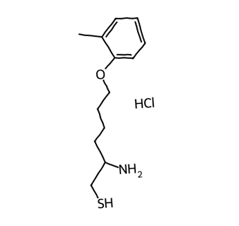 Cc1ccccc1OCCCCC(N)CS.Cl